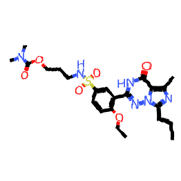 CCCc1nc(C)c2c(=O)[nH]c(-c3cc(S(=O)(=O)NCCCOC(=O)N(C)C)ccc3OCC)nn12